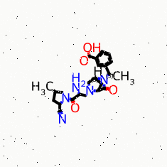 CC1CC(C#N)N(C(=O)C(N)CN2C[C@@H]3CC2C(=O)N3[C@@H](C)c2cccc(C(=O)O)c2)C1